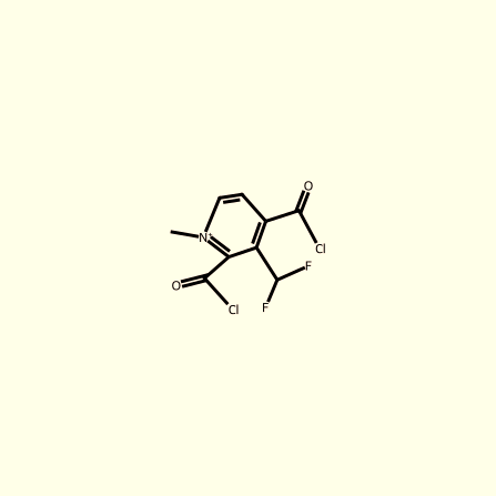 C[n+]1ccc(C(=O)Cl)c(C(F)F)c1C(=O)Cl